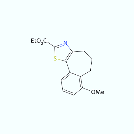 CCOC(=O)c1nc2c(s1)-c1cccc(OC)c1CCC2